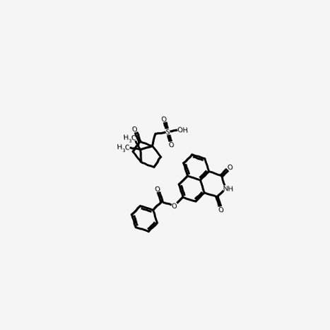 CC1(C)C2CCC1(CS(=O)(=O)O)C(=O)C2.O=C(Oc1cc2c3c(cccc3c1)C(=O)NC2=O)c1ccccc1